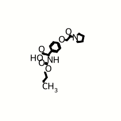 CCCCOC(=O)NC(C(=O)O)c1ccc(OCC(=O)N2CCCC2)cc1